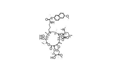 CC[C@H]1OC(=O)[C@H](C)[C@@H](O[C@H]2C[C@@](C)(OC)[C@@H](O)[C@H](C)O2)[C@H](C)[C@@H](O[C@@H]2O[C@H](C)C[C@H](N(C)C)[C@H]2O)[C@](C)(O)C[C@@H](C)CN(CCCNC(=O)[C@H](C)c2ccc3cc(OC)ccc3c2)[C@H](C)[C@@H](O)[C@]1(C)O